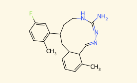 CC1=CC=CC2CC(c3cc(F)ccc3C)CCN/C(N)=N\N=C\C12